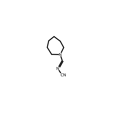 N#CN=CN1CCCCCC1